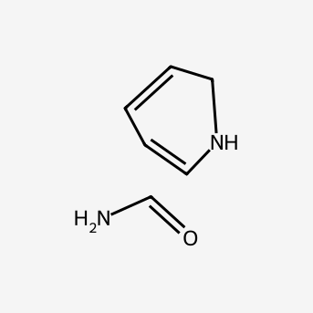 C1=CCNC=C1.NC=O